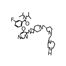 CC(C)N(C(=O)c1cc(F)ccc1Oc1cncnc1N1CC2(CCN(C[C@H]3CCN(CCN4CCCNCC4)C3)CC2)C1)C(C)C